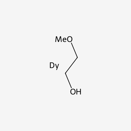 COCCO.[Dy]